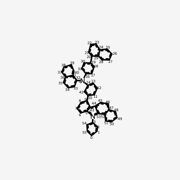 c1ccc(-n2c3cccc(-c4cccc(N(c5ccc(-c6cccc7ccccc67)cc5)c5cccc6ccccc56)c4)c3c3ccc4ccccc4c32)cc1